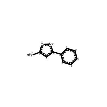 CCCc1cc(-c2ccccc2)no1